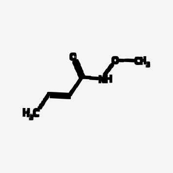 CC=CC(=O)NOC